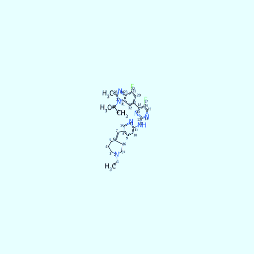 CCN1CCC/C(=C/c2ccc(Nc3ncc(F)c(-c4cc(F)c5nc(C)n(C(C)C)c5c4)n3)nc2)CC1